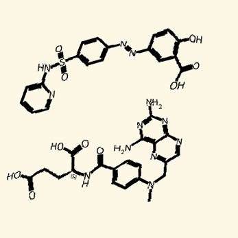 CN(Cc1cnc2nc(N)nc(N)c2n1)c1ccc(C(=O)N[C@@H](CCC(=O)O)C(=O)O)cc1.O=C(O)c1cc(N=Nc2ccc(S(=O)(=O)Nc3ccccn3)cc2)ccc1O